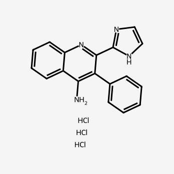 Cl.Cl.Cl.Nc1c(-c2ccccc2)c(-c2ncc[nH]2)nc2ccccc12